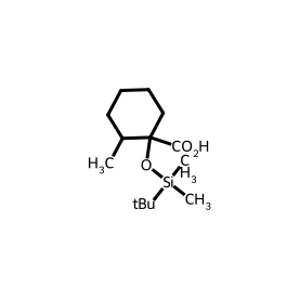 CC1CCCCC1(O[Si](C)(C)C(C)(C)C)C(=O)O